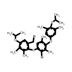 Cc1cc(Oc2c(C)cc(Oc3c(CBr)cc(OC(C)C)c(C)c3C)c(Br)c2C)cc(C)c1OC(C)C